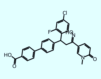 Cn1cc(/C(CC(c2ccc(-c3ccc(C(=O)O)cc3)cc2)c2ccc(Cl)cc2F)=N/O)ccc1=O